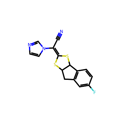 N#C/C(=C1/SC2Cc3cc(F)ccc3C2S1)n1ccnc1